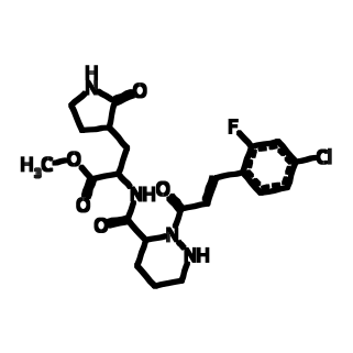 COC(=O)C(CC1CCNC1=O)NC(=O)C1CCCNN1C(=O)/C=C/c1ccc(Cl)cc1F